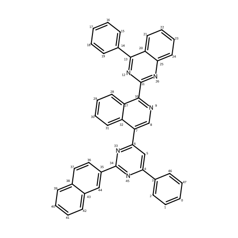 c1ccc(-c2cc(-c3cnc(-c4nc(-c5ccccc5)c5ccccc5n4)c4ccccc34)nc(-c3ccc4ccccc4c3)n2)cc1